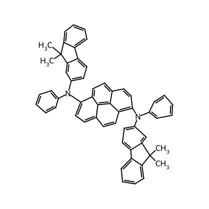 CC1(C)c2ccccc2-c2ccc(N(c3ccccc3)c3ccc4ccc5c(N(c6ccccc6)c6ccc7c(c6)C(C)(C)c6ccccc6-7)ccc6ccc3c4c65)cc21